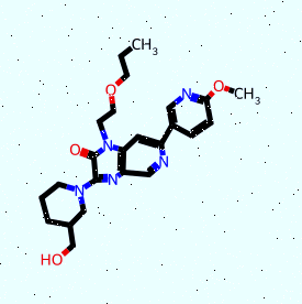 CCCOCCn1c(=O)c(N2CCCC(CO)C2)nc2cnc(-c3ccc(OC)nc3)cc21